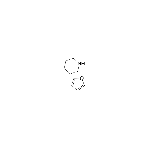 C1CCNCC1.c1ccoc1